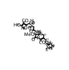 CO[C@@]1(NC(=O)CS(=O)(=O)Cc2onc(O)c2C(=O)O)C(=O)N2C(C(=O)O)=C(CSc3nnnn3C)CS[C@@H]21